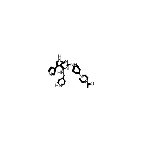 CC(=O)N1CCN(c2ccc(Nc3nc(NCC4CCNCC4)c4c(-c5ccncc5)c[nH]c4n3)cc2)CC1